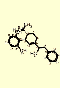 C=C(C)[C@@H]1CCC(C(C)Cc2ccccc2)=C[C@H]1c1c(O)cccc1O